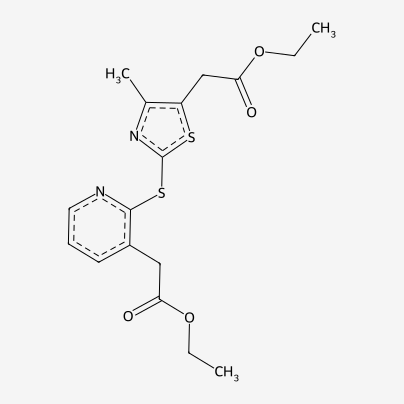 CCOC(=O)Cc1cccnc1Sc1nc(C)c(CC(=O)OCC)s1